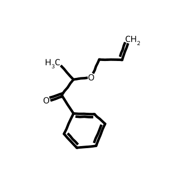 C=CCOC(C)C(=O)c1ccccc1